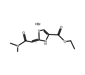 Br.CCOC(=O)C1=CS/C(=C\C(=O)N(C)C)N1